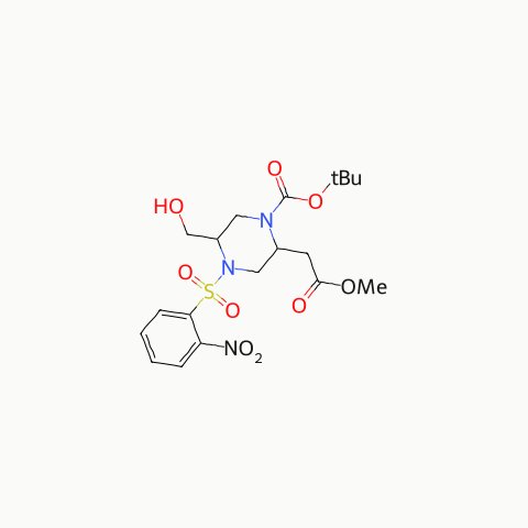 COC(=O)CC1CN(S(=O)(=O)c2ccccc2[N+](=O)[O-])C(CO)CN1C(=O)OC(C)(C)C